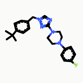 CC(C)(C)c1ccc(Cn2cnc(N3CCN(c4ccc(F)cc4)CC3)n2)cc1